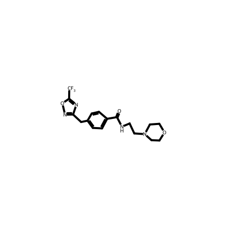 O=C(NCCN1CCOCC1)c1ccc(Cc2noc(C(F)(F)F)n2)cc1